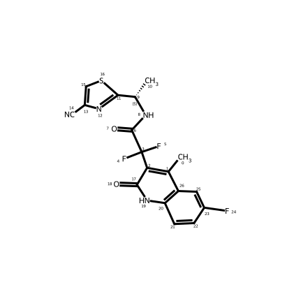 Cc1c(C(F)(F)C(=O)N[C@@H](C)c2nc(C#N)cs2)c(=O)[nH]c2ccc(F)cc12